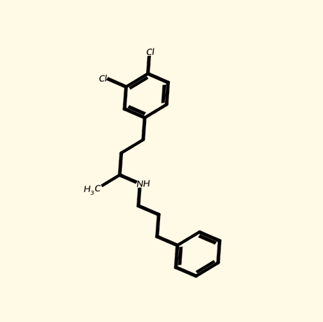 CC(CCc1ccc(Cl)c(Cl)c1)NCCCc1ccccc1